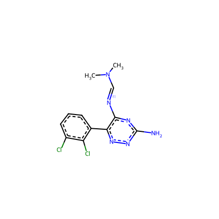 CN(C)/C=N/c1nc(N)nnc1-c1cccc(Cl)c1Cl